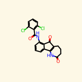 O=C1CCCC2=C(N1)c1cccc(NC(=O)c3c(Cl)cccc3Cl)c1C2=O